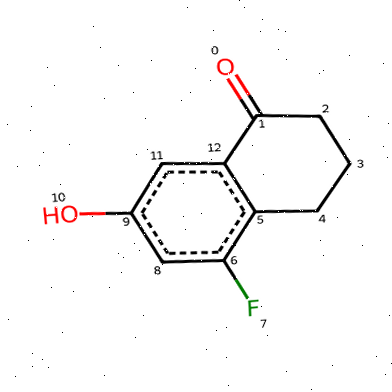 O=C1CCCc2c(F)cc(O)cc21